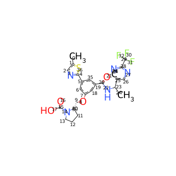 Cc1cnc(-c2cc(OC[C@@H]3CCCN3C(=O)O)cc(C(=O)NC(C)c3cnc(C(F)(F)F)nc3)c2)s1